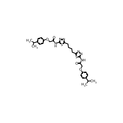 CC(C)c1ccc(OCC(=O)Nc2nnc(CCCCc3nnc(NC(=O)COc4ccc(C(C)C)cc4)s3)s2)cc1